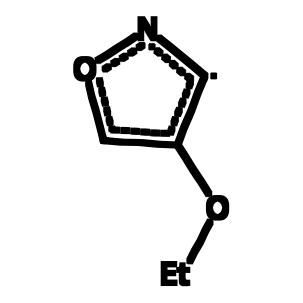 CCOc1[c]noc1